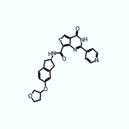 O=C(N[C@@H]1Cc2ccc(OC3CCOC3)cc2C1)c1scc2c(=O)[nH]c(-c3ccncc3)nc12